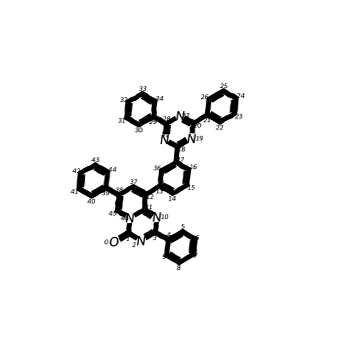 O=c1nc(-c2ccccc2)nc2c(-c3cccc(-c4nc(-c5ccccc5)nc(-c5ccccc5)n4)c3)cc(-c3ccccc3)cn12